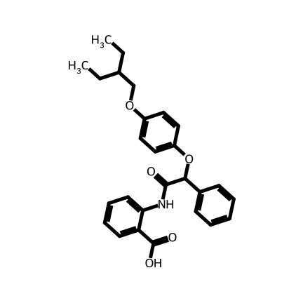 CCC(CC)COc1ccc(OC(C(=O)Nc2ccccc2C(=O)O)c2ccccc2)cc1